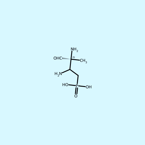 C[C@@](N)(C=O)C(N)CP(=O)(O)O